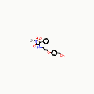 CC(C)(C)N1C(=O)C(NCCCOc2ccc(CO)cc2)=C(c2ccccc2)S1(=O)=O